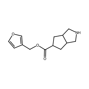 O=C(OCc1ccoc1)C1CC2CNCC2C1